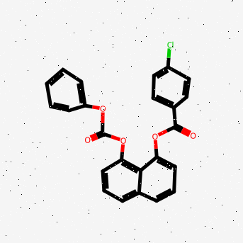 O=C(Oc1ccccc1)Oc1cccc2cccc(OC(=O)c3ccc(Cl)cc3)c12